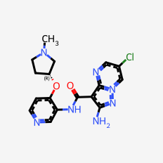 CN1CC[C@@H](Oc2ccncc2NC(=O)c2c(N)nn3cc(Cl)cnc23)C1